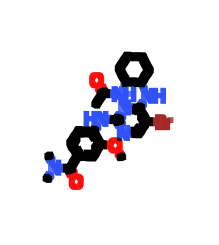 COc1cc(C(=O)N(C)C)ccc1Nc1ncc(Br)c(N[C@@H]2CCCC[C@H]2NC(C)=O)n1